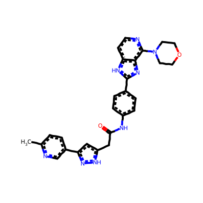 Cc1ccc(-c2cc(CC(=O)Nc3ccc(-c4nc5c(N6CCOCC6)nccc5[nH]4)cc3)[nH]n2)cn1